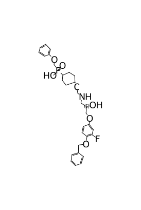 O=P(O)(COc1ccccc1)C1CCC(CCNC[C@H](O)COc2ccc(OCc3ccccc3)c(F)c2)CC1